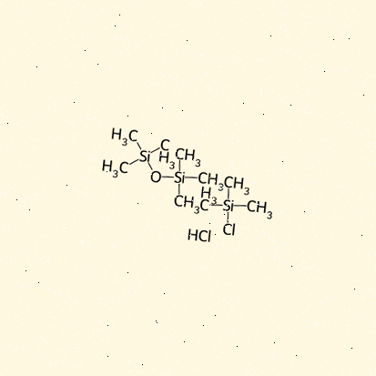 C[Si](C)(C)Cl.C[Si](C)(C)O[Si](C)(C)C.Cl